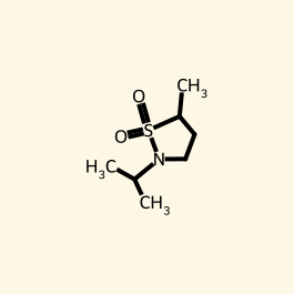 CC(C)N1CCC(C)S1(=O)=O